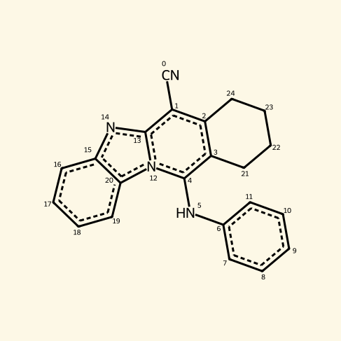 N#Cc1c2c(c(Nc3ccccc3)n3c1nc1ccccc13)CCCC2